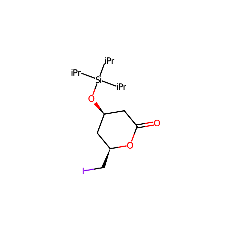 CC(C)[Si](O[C@H]1CC(=O)O[C@@H](CI)C1)(C(C)C)C(C)C